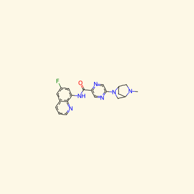 CN1CC2CC1CN2c1cnc(C(=O)Nc2cc(F)cc3cccnc23)cn1